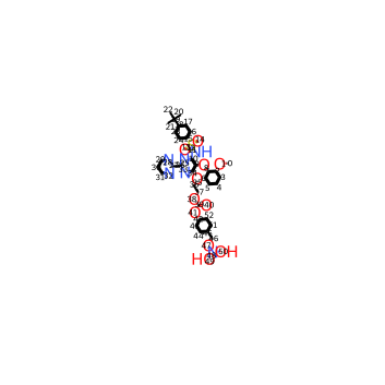 COc1ccccc1Oc1c(NS(=O)(=O)c2ccc(C(C)(C)C)cc2)nc(-c2ncccn2)nc1OCCOC(=O)Oc1ccc(CON(O)O)cc1